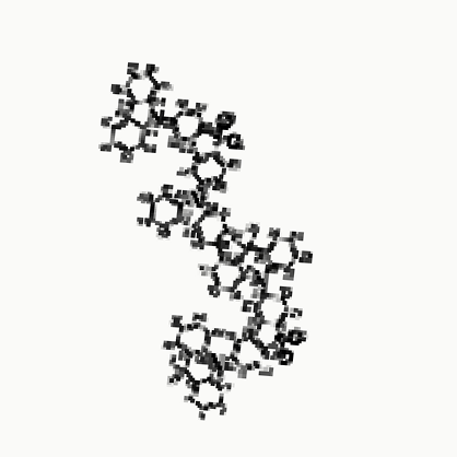 CC1(C)c2ccccc2N(c2ccc3c(c2)-c2cc(N4c5ccccc5C(C)(C)c5c(-c6ccc7c(c6)c6ccccc6n7-c6ccc7c(c6)-c6cc(-n8c9ccccc9c9ccccc98)ccc6S7(=O)=O)cccc54)ccc2S3(=O)=O)c2ccccc21